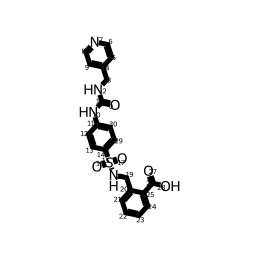 O=C(NCc1ccncc1)Nc1ccc(S(=O)(=O)NCc2ccccc2C(=O)O)cc1